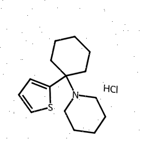 Cl.c1csc(C2(N3CCCCC3)CCCCC2)c1